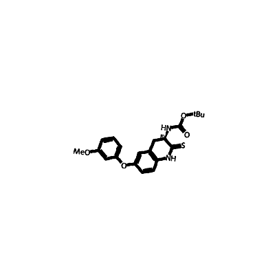 COc1cccc(Oc2ccc3c(c2)C[C@@H](NC(=O)OC(C)(C)C)C(=S)N3)c1